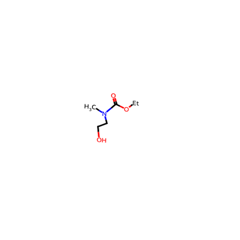 CCOC(=O)N(C)CCO